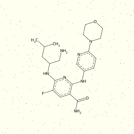 CC(C)CC(CN)Nc1nc(Nc2ccc(N3CCOCC3)nc2)c(C(N)=O)cc1F